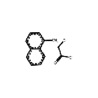 Cc1cccc2ccccc12.O=C(Cl)CCl